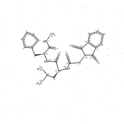 CNC(=O)[C@H](Cc1ccccc1)NC(=O)[C@H](CC(C)C)NC(=O)CN1C(=O)c2ccccc2C1=O